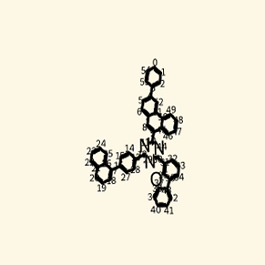 c1ccc(-c2ccc3cc(-c4nc(-c5ccc(-c6cccc7ccccc67)cc5)nc(-c5cccc6c5oc5ccccc56)n4)c4ccccc4c3c2)cc1